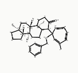 CC1=CC(OCc2ccccc2)(C2C(=O)CC[C@@]3(C)C2CC[C@H]2[C@@H]4CCC[C@@]4(C)CC[C@@H]23)N=CC=C1